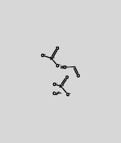 O=CO.O=[N+]([O-])[O-].O=[N+]([O-])[O-].[Cu+2]